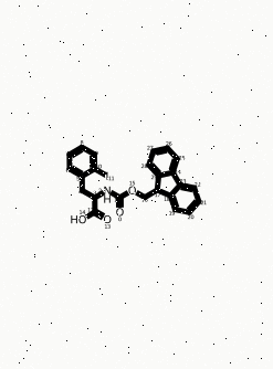 O=C(NC(Cc1ccccc1I)C(=O)O)OCC1c2ccccc2-c2ccccc21